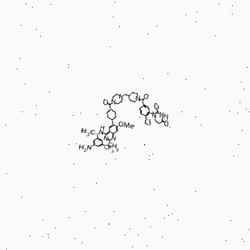 COc1cc2nc(C)nc(N[C@H](C)c3cc(N)cc(C(F)(F)F)c3)c2cc1C1CCC(C(=O)N2CCN(CC3CCN(C(=O)c4ccc(Cl)c(N5CCC(=O)NC5=O)c4)CC3)CC2)CC1